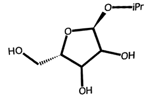 CC(C)O[C@@H]1O[C@@H](CO)C(O)C1O